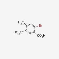 Cc1cc(Br)c(C(=O)O)cc1C(=O)O